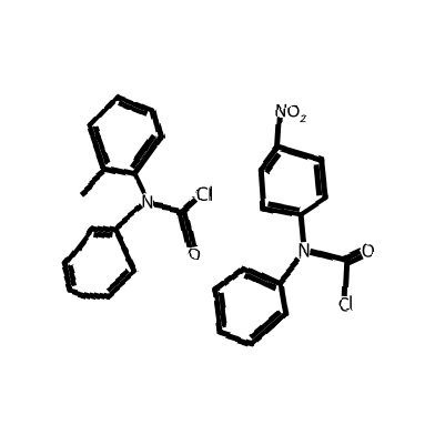 Cc1ccccc1N(C(=O)Cl)c1ccccc1.O=C(Cl)N(c1ccccc1)c1ccc([N+](=O)[O-])cc1